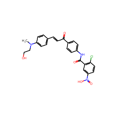 CN(CCO)c1ccc(/C=C/C(=O)c2ccc(NC(=O)c3cc([N+](=O)O)ccc3Cl)cc2)cc1